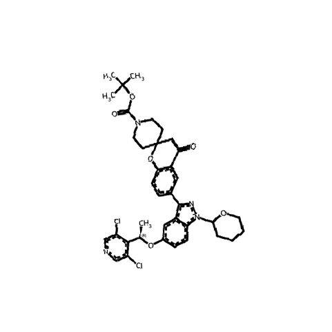 C[C@@H](Oc1ccc2c(c1)c(-c1ccc3c(c1)C(=O)CC1(CCN(C(=O)OC(C)(C)C)CC1)O3)nn2C1CCCCO1)c1c(Cl)cncc1Cl